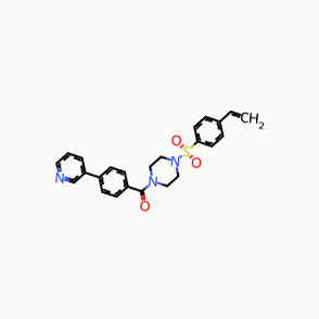 C=Cc1ccc(S(=O)(=O)N2CCN(C(=O)c3ccc(-c4cccnc4)cc3)CC2)cc1